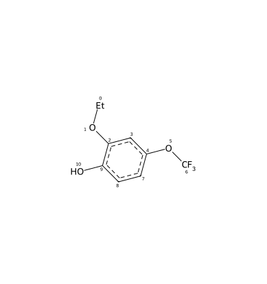 CCOc1cc(OC(F)(F)F)ccc1O